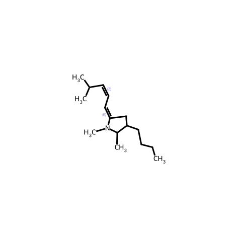 CCCCC1C/C(=C\C=C/C(C)C)N(C)C1C